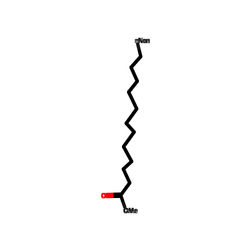 CCCCCCCCCCCCCCCCCCCCC(=O)OC